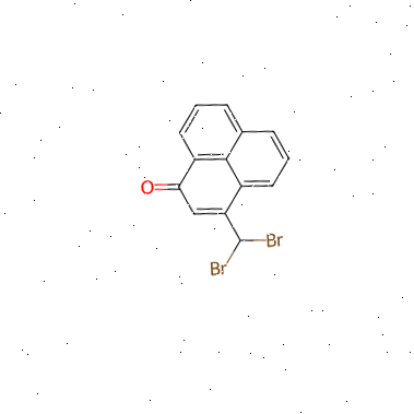 O=C1C=C(C(Br)Br)c2cccc3cccc1c23